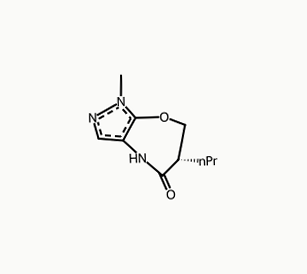 CCC[C@H]1COc2c(cnn2C)NC1=O